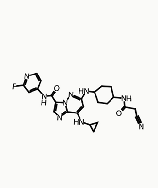 N#CCC(=O)NC1CCC(Nc2cc(NC3CC3)c3ncc(C(=O)Nc4ccnc(F)c4)n3n2)CC1